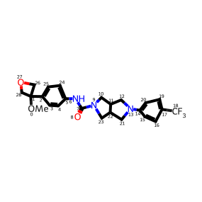 COC1(c2ccc(NC(=O)N3CC4CN(c5ccc(C(F)(F)F)cc5)CC4C3)cc2)COC1